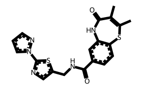 CC1=C(C)C(=O)Nc2cc(C(=O)NCc3cnc(-n4cccn4)s3)ccc2S1